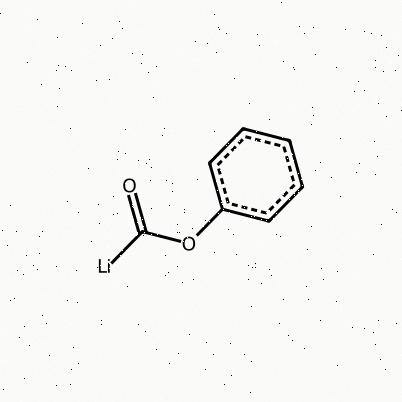 [Li][C](=O)Oc1ccccc1